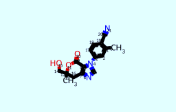 Cc1cc(-n2cnc3c2C(=O)OC(C)(CO)C3)ccc1C#N